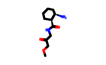 COCC(=O)CNC(=O)[C@@H]1CCCC[C@@H]1N